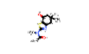 CNC(=O)N(C)c1nc2c(s1)C(=O)CC(C)(C)C2